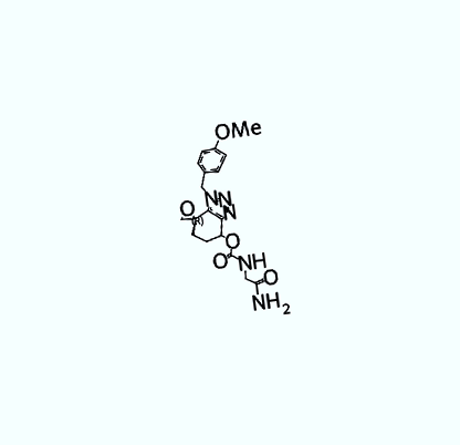 COc1ccc(Cn2nnc3c2[C@]2(CCC3OC(=O)NCC(N)=O)CO2)cc1